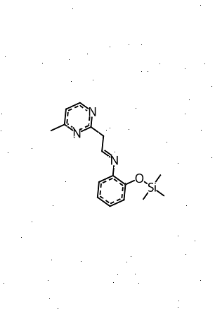 Cc1ccnc(CC=Nc2ccccc2O[Si](C)(C)C)n1